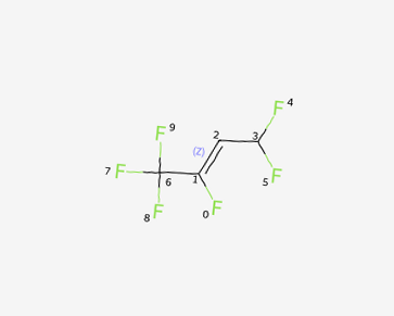 F/C(=C\C(F)F)C(F)(F)F